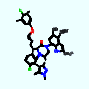 COc1cc(N2CC(C)n3c(c(CCCOc4cc(C)c(Cl)c(C)c4)c4ccc(Cl)c(-c5c(C)nn(C)c5C)c43)C2=O)c2[nH]c(C(=O)O)cc2c1OC